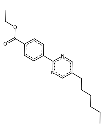 CCCCCCc1cnc(-c2ccc(C(=O)OCC)cc2)nc1